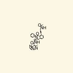 CC(=O)NCC#Cc1cccc2cc([C@@H](C)NC(=O)c3c(C)ncn4ccnc34)n(-c3ccccc3)c(=O)c12